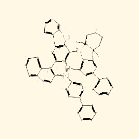 CC12CCCCC1(C)N1c3c(cc(-c4ccccc4)cc32)B2c3c(cc4c(oc5ccccc54)c31)-c1c(ccc3ccccc13)N2c1ccc(-c2ccccc2)cc1